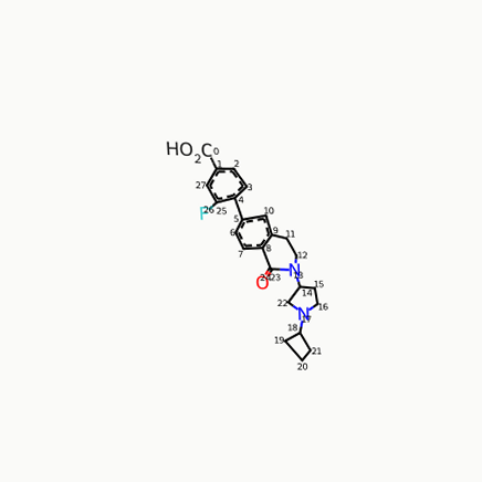 O=C(O)c1ccc(-c2ccc3c(c2)CCN(C2CCN(C4CCC4)C2)C3=O)c(F)c1